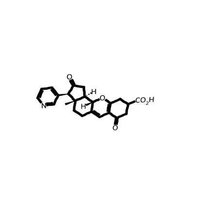 C[C@]12CCC3=CC4=C(CC(C(=O)O)CC4=O)O[C@H]3[C@@H]1CC(=O)[C@@H]2c1cccnc1